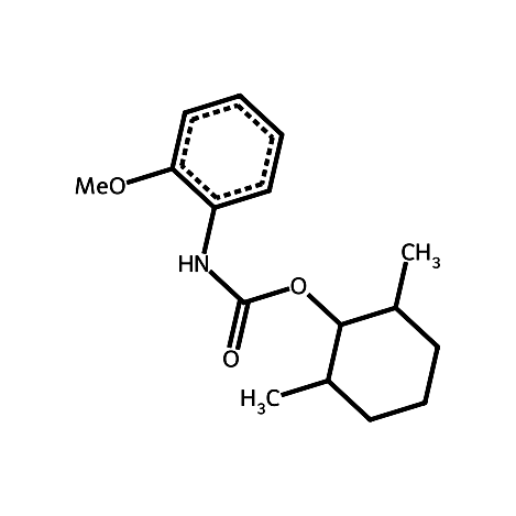 COc1ccccc1NC(=O)OC1C(C)CCCC1C